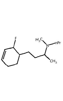 CCCN(C)C(C)CCC1CCC=CC1F